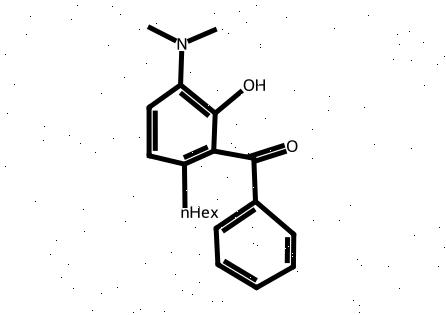 CCCCCCc1ccc(N(C)C)c(O)c1C(=O)c1ccccc1